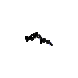 C/C=C/C1CCC(c2ccc(/C=C/C3CCC(C(F)(F)Oc4ccc(OC=C(F)F)c(F)c4)CC3)c(F)c2)CC1